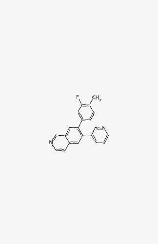 Cc1ccc(-c2cc3cnccc3cc2-c2cccnc2)cc1F